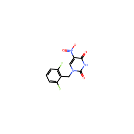 O=c1[nH]c(=O)n(Cc2c(F)cccc2F)cc1[N+](=O)[O-]